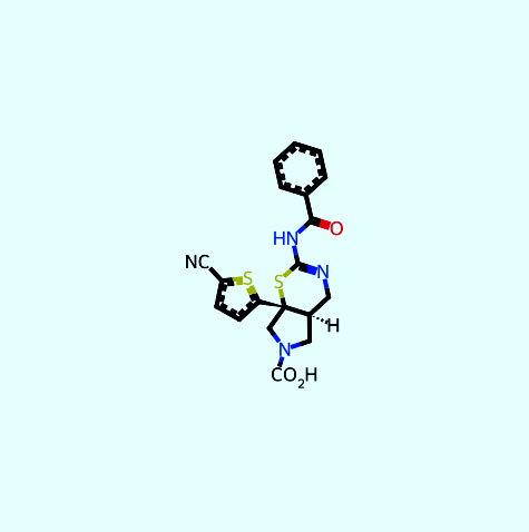 N#Cc1ccc([C@]23CN(C(=O)O)C[C@@H]2CN=C(NC(=O)c2ccccc2)S3)s1